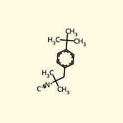 [C-]#[N+]C(C)(C)Cc1ccc(C(C)(C)C)cc1